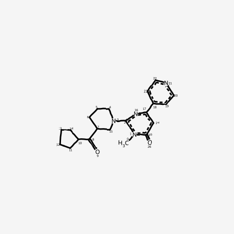 Cn1c(N2CCCC(C(=O)C3CCCC3)C2)nc(-c2ccncc2)cc1=O